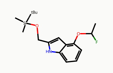 CC(F)Oc1cccc2[nH]c(CO[Si](C)(C)C(C)(C)C)cc12